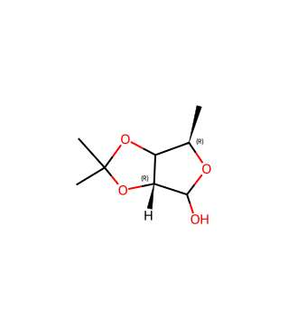 C[C@H]1OC(O)[C@@H]2OC(C)(C)OC21